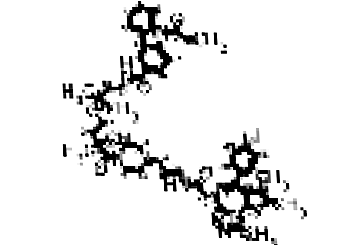 C=CC(=O)n1c2ccccc2c2cc(C(=O)NCCC(C)(C)OCCC(C)(C)C(=O)N3CCN(CCCNC(=O)C[C@@H]4N=C(c5ccc(Cl)cc5)c5c(sc(C)c5C)-n5c(C)nnc54)CC3)ccc21